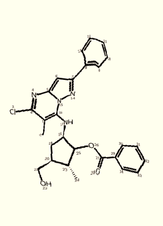 Cc1c(Cl)nc2cc(-c3ccccc3)nn2c1N[C@@H]1C[C@H](CO)[C@@H](C)C1OC(=O)c1ccccc1